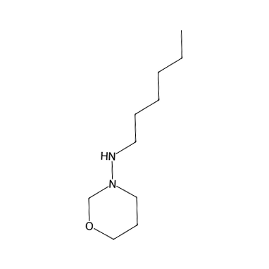 CCCCCCNN1CCCOC1